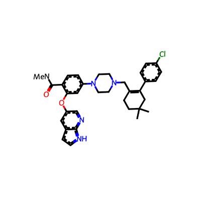 CNC(=O)c1ccc(N2CCN(CC3=C(c4ccc(Cl)cc4)CC(C)(C)CC3)CC2)cc1Oc1cnc2[nH]ccc2c1